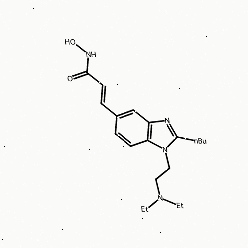 CCCCc1nc2cc(C=CC(=O)NO)ccc2n1CCN(CC)CC